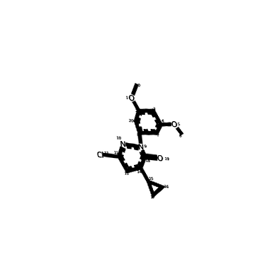 COc1cc(OC)cc(-n2nc(Cl)cc(C3CC3)c2=O)c1